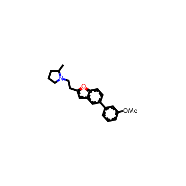 COc1cccc(-c2ccc3oc(CCN4CCCC4C)cc3c2)c1